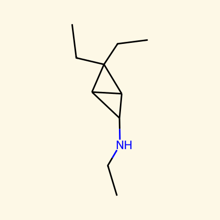 CCNC1C2C1C2(CC)CC